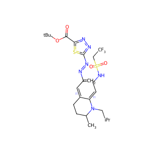 C=C(/C=C1/CCC(C)N(CC(C)C)/C1=C/CNS(=O)(=O)CC(F)(F)F)N=Nc1nnc(C(=O)OC(C)(C)C)s1